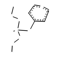 COO[Si](O)(OOC)Oc1ccccc1